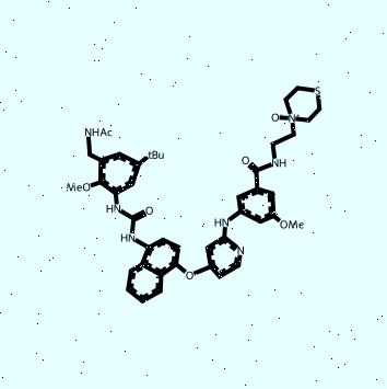 COc1cc(Nc2cc(Oc3ccc(NC(=O)Nc4cc(C(C)(C)C)cc(CNC(C)=O)c4OC)c4ccccc34)ccn2)cc(C(=O)NCC[N+]2([O-])CCSCC2)c1